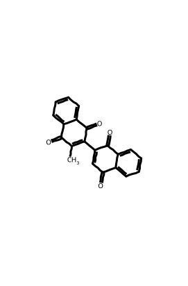 CC1=C(C2=CC(=O)c3ccccc3C2=O)C(=O)c2ccccc2C1=O